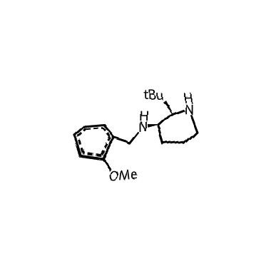 COc1ccccc1CN[C@@H]1CCCN[C@@H]1C(C)(C)C